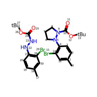 Cc1ccc(N2CCCN2C(=O)OC(C)(C)C)c(Br)c1.Cc1ccc(NNC(=O)OC(C)(C)C)c(Br)c1